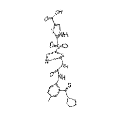 Cc1ccc(NC(=O)Nc2ncc(S(=O)(=O)c3nc(C(=O)O)c[nH]3)s2)c(C(=O)C2CCCC2)c1